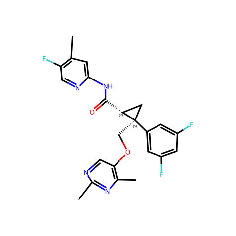 Cc1ncc(OC[C@@]2(c3cc(F)cc(F)c3)C[C@H]2C(=O)Nc2cc(C)c(F)cn2)c(C)n1